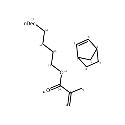 C1=CC2CCC1C2.C=C(C)C(=O)OCCCCCCCCCCCCCC